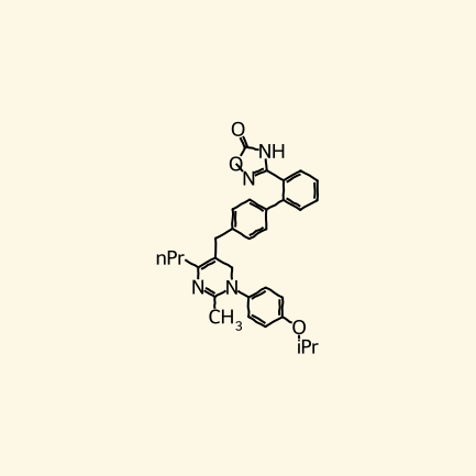 CCCC1=C(Cc2ccc(-c3ccccc3-c3noc(=O)[nH]3)cc2)CN(c2ccc(OC(C)C)cc2)C(C)=N1